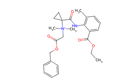 CCOC(=O)c1cccc(C)c1NC(=O)C1([N+](C)(C)CC(=O)OCc2ccccc2)CC1